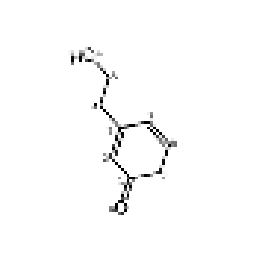 O=C1C=C(CCO)C=CC1